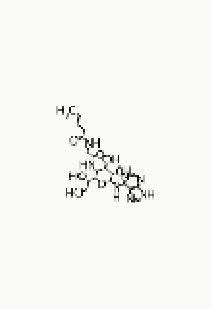 CCCCC(=O)NCC(=O)NC1C(O)C(O)C(Nc2ncnc3[nH]cnc23)OC1C(O)CO